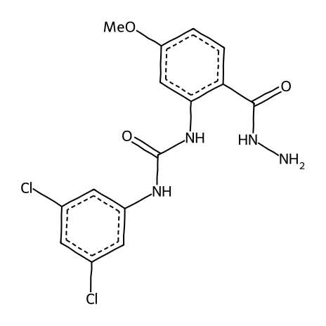 COc1ccc(C(=O)NN)c(NC(=O)Nc2cc(Cl)cc(Cl)c2)c1